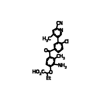 CCC(Oc1ccc(C(=O)c2ccc(Cl)c(-c3cnc(C#N)cc3C)c2)c(C)c1N)C(=O)O